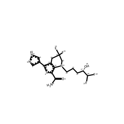 NC(=O)c1sc(-c2cn[nH]c2)c2c1N(CCC[C@H](O)C(F)F)CC(F)(F)C2